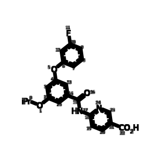 CC(C)Oc1cc(Oc2cccc(F)c2)cc(C(=O)Nc2ccc(C(=O)O)cn2)c1